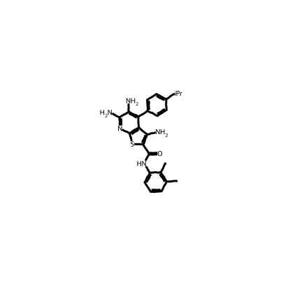 Cc1cccc(NC(=O)c2sc3nc(N)c(N)c(-c4ccc(C(C)C)cc4)c3c2N)c1C